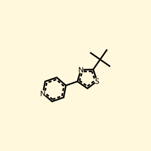 CC(C)(C)c1nc(-c2ccncc2)cs1